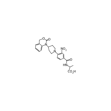 CC(NC(=O)c1ccc(N2CCC(N3C(=O)OCc4ccccc43)CC2)c([N+](=O)[O-])c1)C(=O)O